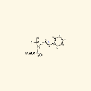 COC(=O)C1C(/C=C/c2ccccc2)C1(C)C